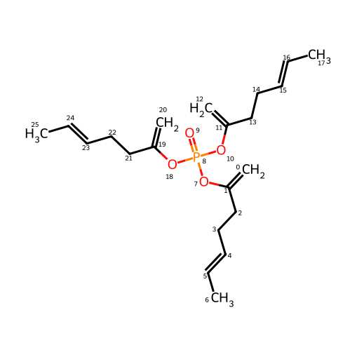 C=C(CC/C=C/C)OP(=O)(OC(=C)CC/C=C/C)OC(=C)CC/C=C/C